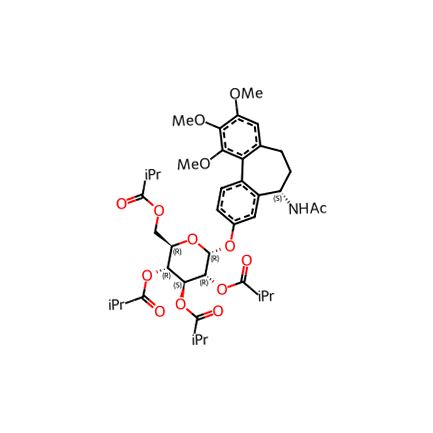 COc1cc2c(c(OC)c1OC)-c1ccc(O[C@H]3O[C@H](COC(=O)C(C)C)[C@@H](OC(=O)C(C)C)[C@H](OC(=O)C(C)C)[C@H]3OC(=O)C(C)C)cc1[C@@H](NC(C)=O)CC2